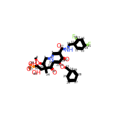 COC1Cn2cc(C(=O)NCc3ccc(F)cc3F)c(=O)c(OCc3ccccc3)c2C(=O)C1(C)CCP(=O)(O)O